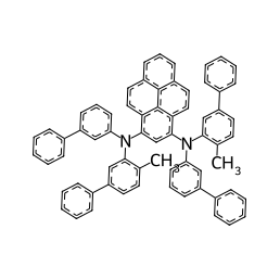 Cc1ccc(-c2ccccc2)cc1N(c1cccc(-c2ccccc2)c1)c1cc(N(c2cccc(-c3ccccc3)c2)c2cc(-c3ccccc3)ccc2C)c2ccc3cccc4ccc1c2c43